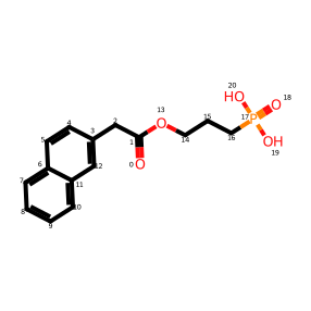 O=C(Cc1ccc2ccccc2c1)OCCCP(=O)(O)O